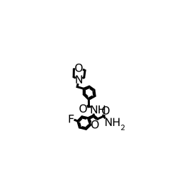 NC(=O)c1oc2ccc(F)cc2c1NC(=O)c1cccc(CN2CCOCC2)c1